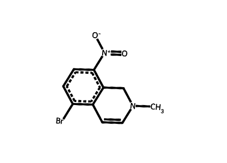 CN1C=Cc2c(Br)ccc([N+](=O)[O-])c2C1